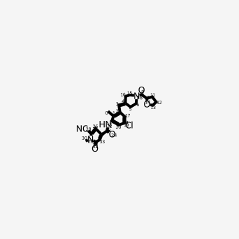 Cc1c(C=C2CCN(C(=O)C3CCCO3)CC2)cc(Cl)cc1NC(=O)c1cc(C#N)n(C)c(=O)c1